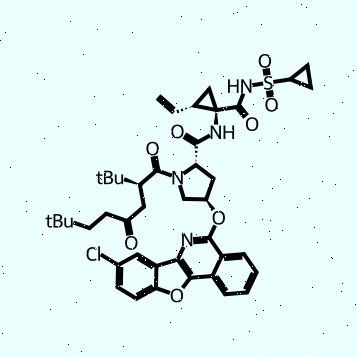 C=C[C@@H]1C[C@]1(NC(=O)[C@@H]1C[C@@H](Oc2nc3c4cc(Cl)ccc4oc3c3ccccc23)CN1C(=O)[C@@H](CC(=O)CCC(C)(C)C)C(C)(C)C)C(=O)NS(=O)(=O)C1CC1